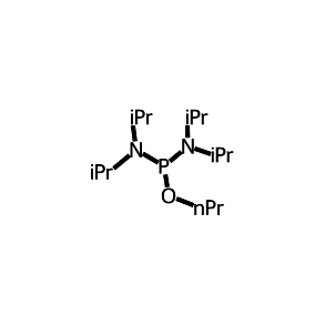 CCCOP(N(C(C)C)C(C)C)N(C(C)C)C(C)C